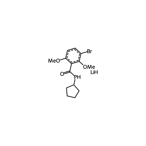 COc1ccc(Br)c(OC)c1C(=O)PC1CCCC1.[LiH]